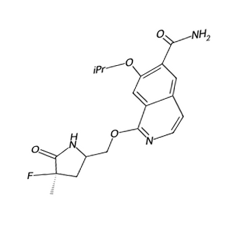 CC(C)Oc1cc2c(OCC3C[C@@](C)(F)C(=O)N3)nccc2cc1C(N)=O